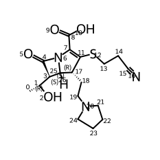 C[C@@H](O)[C@H]1C(=O)N2C(C(=O)O)=C(SCCC#N)[C@H](CCN3CCCC3)[C@H]12